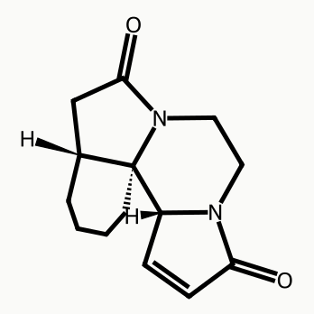 O=C1C=C[C@H]2N1CCN1C(=O)C[C@H]3CCCC[C@@]321